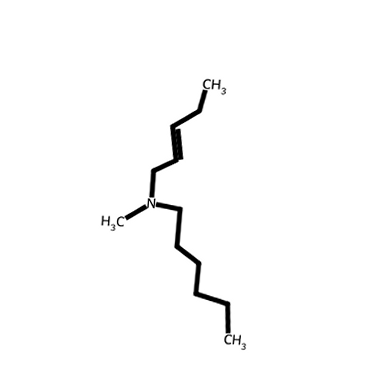 CCC=CCN(C)CCCCCC